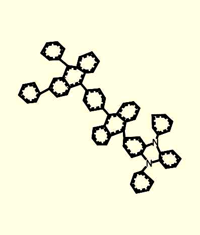 c1ccc(-c2ccc3c(-c4ccc(-c5c6ccccc6c(-c6ccc7c(c6)N(c6ccccc6)c6ccccc6N7c6ccccc6)c6ccccc56)cc4)c4ccccc4c(-c4ccccc4)c3c2)cc1